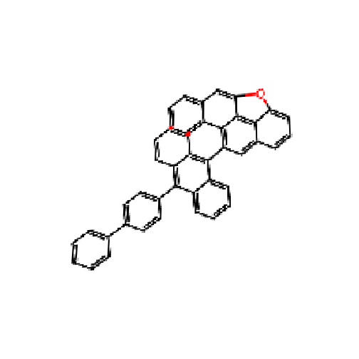 c1ccc(-c2ccc(-c3c4ccccc4c(-c4cc5cccc6oc7cc8ccccc8c4c7c56)c4ccccc34)cc2)cc1